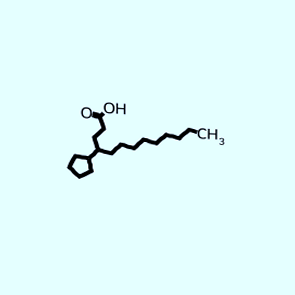 CCCCCCCCCC(CCC(=O)O)C1CCCC1